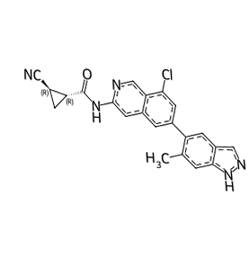 Cc1cc2[nH]ncc2cc1-c1cc(Cl)c2cnc(NC(=O)[C@@H]3C[C@H]3C#N)cc2c1